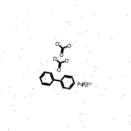 O=C([O-])[O-].O=C([O-])[O-].[Pd+2].[Pd+2].c1ccc(-c2ccccc2)cc1